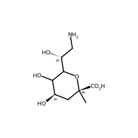 C[C@]1(C(=O)O)C[C@@H](O)C(O)C([C@H](O)CN)O1